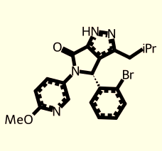 COc1ccc(N2C(=O)c3[nH]nc(CC(C)C)c3[C@@H]2c2ccccc2Br)cn1